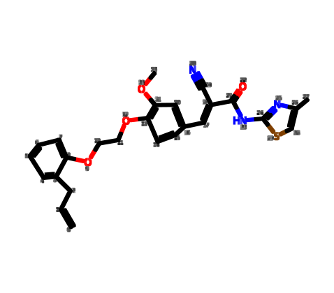 C=CCc1ccccc1OCCOc1ccc(/C=C(\C#N)C(=O)Nc2nc(C)cs2)cc1OC